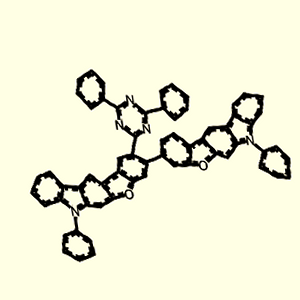 c1ccc(-c2nc(-c3ccccc3)nc(-c3cc4c(cc3-c3ccc5c(c3)oc3cc6c(cc35)c3ccccc3n6-c3ccccc3)oc3cc5c(cc34)c3ccccc3n5-c3ccccc3)n2)cc1